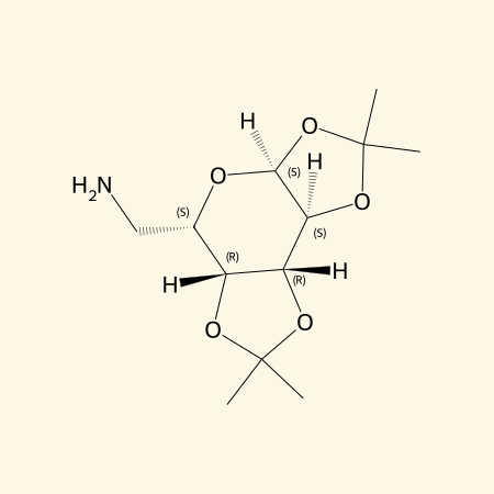 CC1(C)O[C@@H]2O[C@@H](CN)[C@H]3OC(C)(C)O[C@H]3[C@@H]2O1